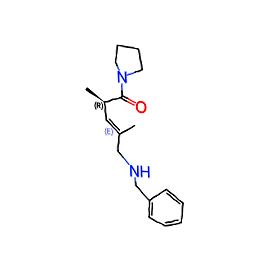 C/C(=C\[C@@H](C)C(=O)N1CCCC1)CNCc1ccccc1